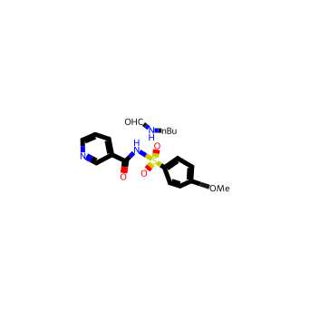 CCCCNC=O.COc1ccc(S(=O)(=O)NC(=O)c2cccnc2)cc1